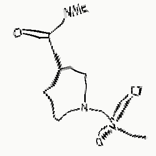 CNC(=O)C1CCN(S(C)(=O)=O)C1